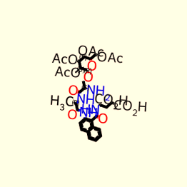 CC(=O)OCC1O[C@@H](OC[C@H](N)C(=O)N[C@H](C)C(=O)Nc2ccc3ccccc3c2C(=O)NC(CCC(=O)O)C(=O)O)[C@@H](OC(C)=O)C(OC(C)=O)[C@H]1OC(C)=O